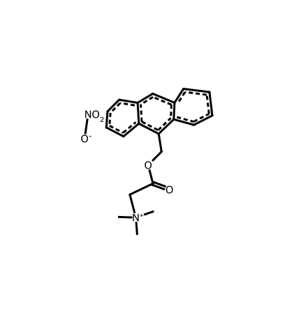 C[N+](C)(C)CC(=O)OCc1c2ccccc2cc2ccccc12.O=[N+]([O-])[O-]